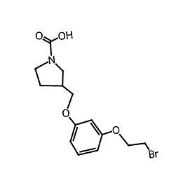 O=C(O)N1CCC(COc2cccc(OCCBr)c2)C1